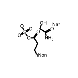 CCCCCCCCCCCC(=O)OS(=O)(=O)[O-].NC(=O)CO.[Na+]